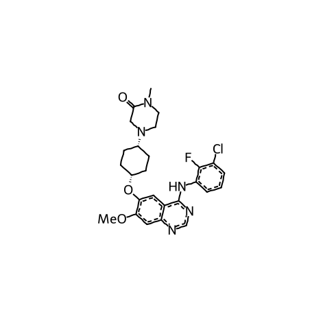 COc1cc2ncnc(Nc3cccc(Cl)c3F)c2cc1O[C@H]1CC[C@@H](N2CCN(C)C(=O)C2)CC1